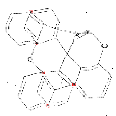 c1ccc(-c2cccc3c2C2(c4ccccc4Oc4ccccc42)c2c(cccc2-c2ccccc2)O3)cc1